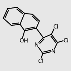 Oc1c(-c2nc(Cl)nc(Cl)c2Cl)ccc2ccccc12